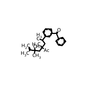 C=C(C)C(C)(C)CC(C)(CC(C)c1cccc(C(=O)c2ccccc2)c1)C(C)=O